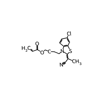 C=CC(=O)OCCCCN1/C(=C(/C)C#N)Sc2cc(Cl)ccc21